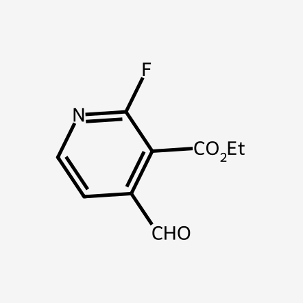 CCOC(=O)c1c(C=O)ccnc1F